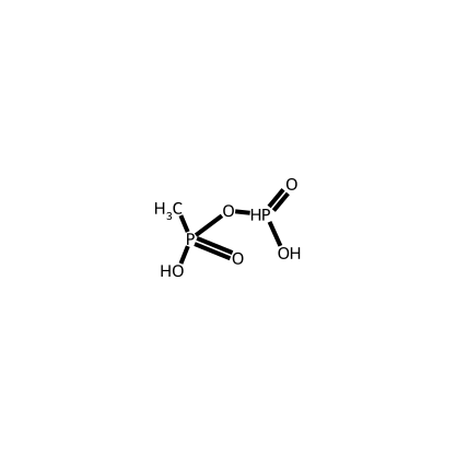 CP(=O)(O)O[PH](=O)O